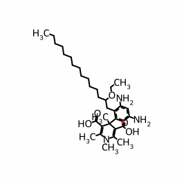 CCCCCCCCCCCCCC(Cc1c(N)cc(N)cc1C1(C)C(C(=O)O)=C(C)N(C)C(C)=C1C(=O)O)OCC